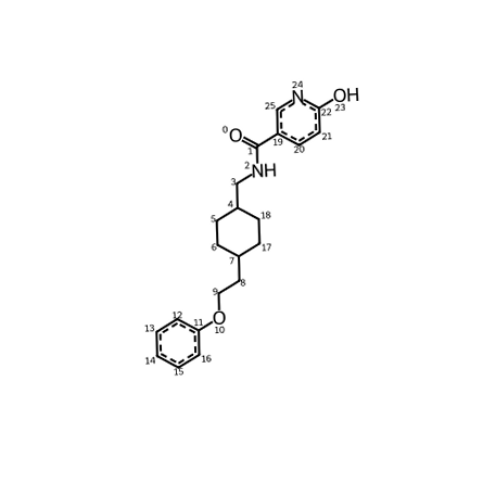 O=C(NCC1CCC(CCOc2ccccc2)CC1)c1ccc(O)nc1